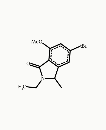 COc1cc(C(C)(C)C)cc2c1C(=O)N(CC(F)(F)F)C2C